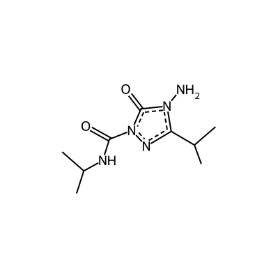 CC(C)NC(=O)n1nc(C(C)C)n(N)c1=O